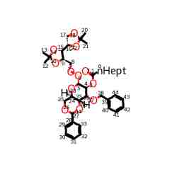 CCCCCCCC(=O)O[C@@H]1[C@H](OOC[C@H]2OC(C)(C)O[C@@H]2[C@@H]2COC(C)(C)O2)O[C@@H]2COC(c3ccccc3)O[C@H]2[C@@H]1OCc1ccccc1